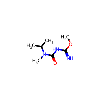 COC(=N)NC(=O)N(C)C(C)C